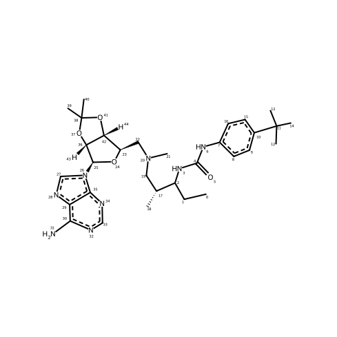 CCC(NC(=O)Nc1ccc(C(C)(C)C)cc1)[C@H](C)CN(C)C[C@H]1O[C@@H](n2cnc3c(N)ncnc32)[C@@H]2OC(C)(C)O[C@@H]21